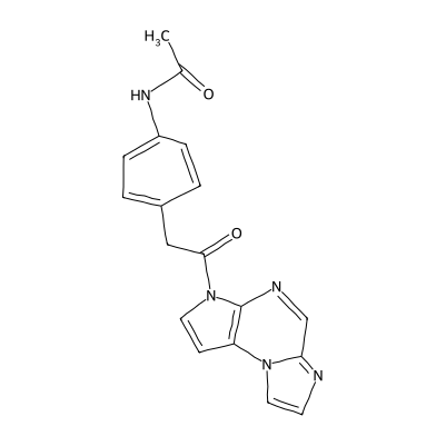 CC(=O)Nc1ccc(CC(=O)n2ccc3c2ncc2nccn23)cc1